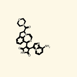 Nc1cccn2c(C3=C(C4=NC=CN5c6c(cccc64)CC5C(=O)N4CCOCC4)C(=O)NC3=O)cnc12